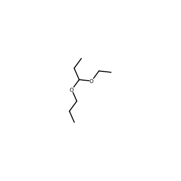 CCCO[C](CC)OCC